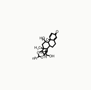 CCCC1O[C@H]2CC3C4CCC5=CC(=O)C=CC5(C)C4[C@H](O)CC3(C)[C@@]2(C(=O)CO)O1